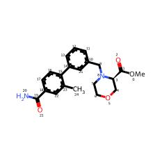 COC(=O)[C@H]1COCCN1Cc1cccc(-c2ccc(C(N)=O)cc2C)c1